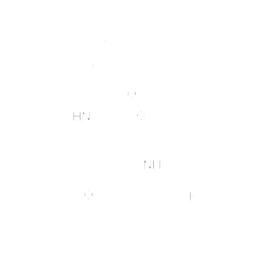 CC(C)(C)OC(=O)N[C@H]1COc2cccc(F)c2NC1=O